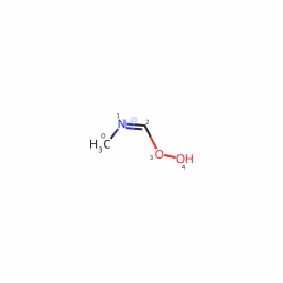 C/N=C\OO